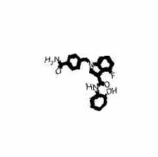 NC(=O)c1ccc(Cn2cc(C(=O)NC3CCCC[C@@H]3O)c3c(F)cccc32)cc1